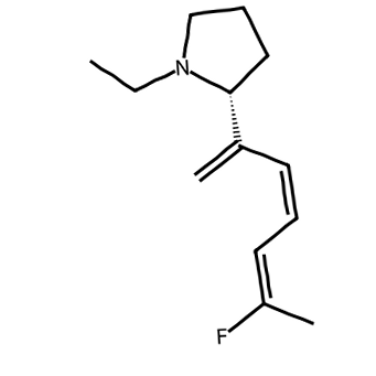 C=C(/C=C\C=C(/C)F)[C@H]1CCCN1CC